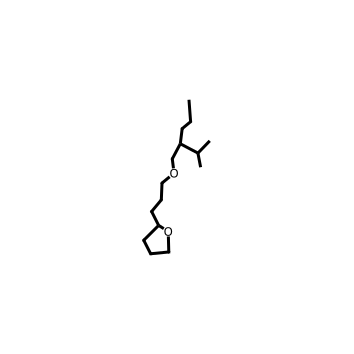 CCCC(COCCCC1CCCO1)C(C)C